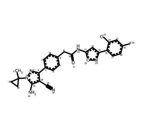 CC1(n2nc(-c3ccc(CC(=O)Nc4cc(-c5ccc(F)cc5Cl)no4)cc3)c(C#N)c2N)CC1